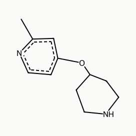 Cc1cc(OC2CCNCC2)ccn1